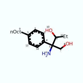 CCCCCCCCc1ccc(C(N)(CO)C(O)CC)cc1